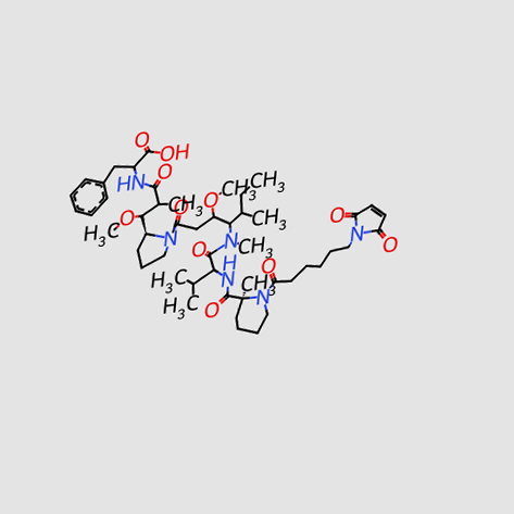 CCC(C)C(C(CC(=O)N1CCC[C@H]1C(OC)C(C)C(=O)NC(Cc1ccccc1)C(=O)O)OC)N(C)C(=O)C(NC(=O)[C@]1(C)CCCCN1C(=O)CCCCCN1C(=O)C=CC1=O)C(C)C